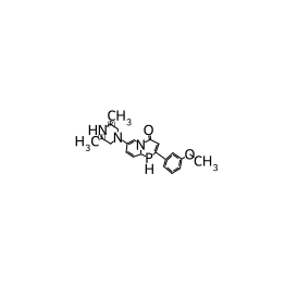 COc1cccc(C2=CC(=O)N3C=C(N4C[C@@H](C)N[C@@H](C)C4)C=CC3P2)c1